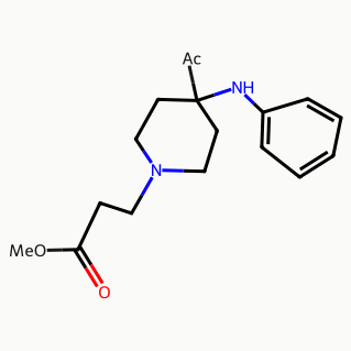 COC(=O)CCN1CCC(Nc2ccccc2)(C(C)=O)CC1